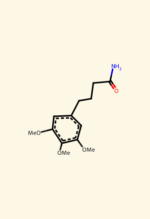 COc1cc(CCCC(N)=O)cc(OC)c1OC